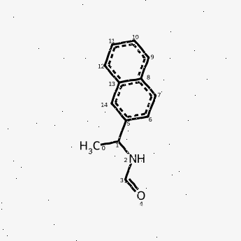 CC(N[C]=O)c1ccc2ccccc2c1